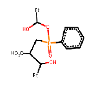 CCC(O)OP(=O)(CC(C(=O)O)C(O)CC)c1ccccc1